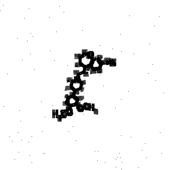 COc1ccc(C2CCN(CCC3CCCOc4cc(C#N)ccc43)CC2)cc1OC